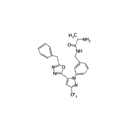 C[C@H](N)C(=O)NCc1cccc(-n2nc(C(F)(F)F)cc2-c2nnc(Cc3ccccc3)o2)c1